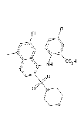 Cc1cc(Cl)cc2c(Nc3ccc(Cl)cc3C(=O)O)c(S(=O)(=O)N3CCSCC3)cnc12